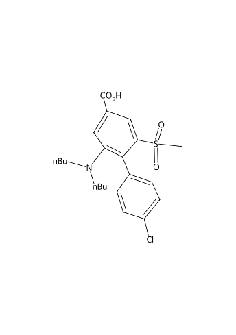 CCCCN(CCCC)c1cc(C(=O)O)cc(S(C)(=O)=O)c1-c1ccc(Cl)cc1